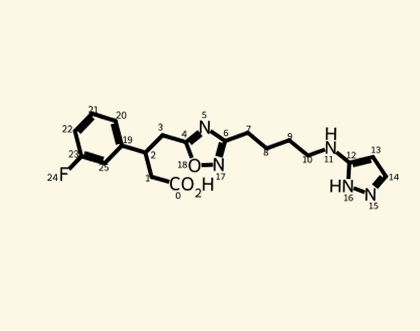 O=C(O)CC(Cc1nc(CCCCNc2ccn[nH]2)no1)c1cccc(F)c1